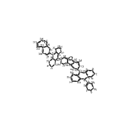 c1ccc(-c2c3ccccc3c(-c3ccc4oc5cc(-c6c7ccccc7c(-c7ccc8cccnc8c7)c7ccccc67)ccc5c4c3)c3ccccc23)cc1